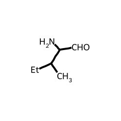 CCC(C)C(N)C=O